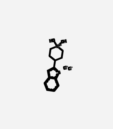 [Cl-].[Cl-].[OH][Ti+2]1([OH])[CH2]CC(c2cc3ccccc3s2)C[CH2]1